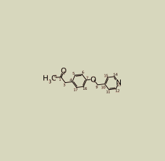 CC(=O)Cc1ccc(OCc2ccncc2)cc1